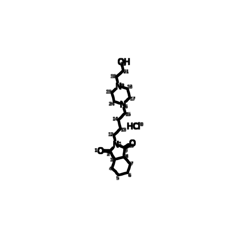 Cl.O=C1C2CCCCC2C(=O)N1CCCCN1CCN(CCO)CC1